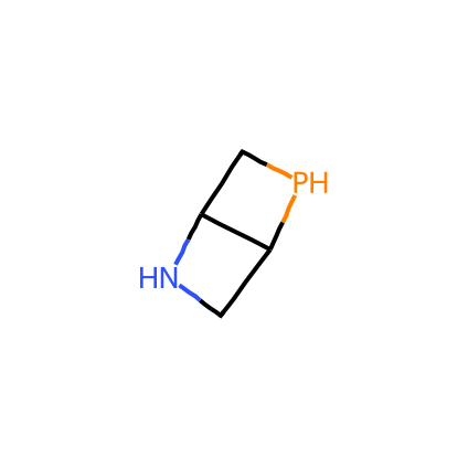 C1PC2CNC12